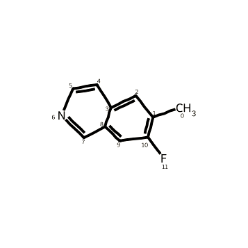 Cc1cc2ccncc2cc1F